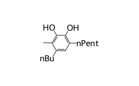 CCCCCc1cc(CCCC)c(C)c(O)c1O